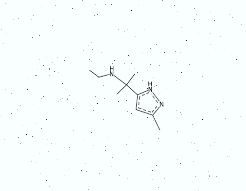 CCNC(C)(C)c1cc(C)n[nH]1